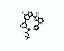 CC(C)(C)CC(=O)Nc1cncc(-c2cc(F)c3[nH]nc(-c4nc5c(-c6ccsc6)nccc5[nH]4)c3c2)c1